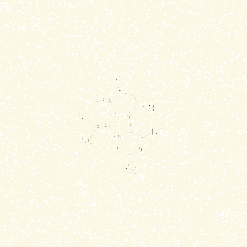 N#CC(C#N)=C1c2cc([N+](=O)[O-])cc([N+](=O)[O-])c2C2=C([N+](=O)[O-])C=C([N+](=O)[O-])C(=O)C12